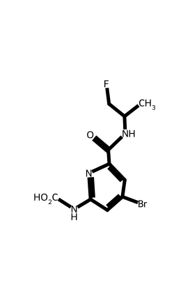 CC(CF)NC(=O)c1cc(Br)cc(NC(=O)O)n1